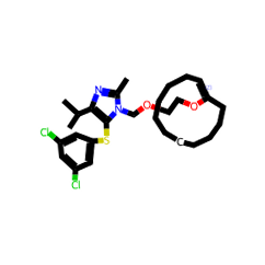 Cc1nc(C(C)C)c(Sc2cc(Cl)cc(Cl)c2)n1COCCO/C1=C\CCCCCCCCCC1